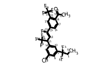 CCC(F)(F)c1cc(Cl)cc(C(/C=C(\F)c2ccc(C(C)=O)c(C(F)(F)F)c2)C(F)(F)F)c1